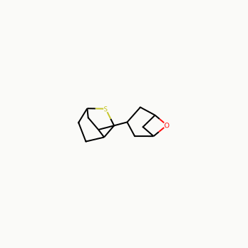 C1C2CC(C3CC4CCC3CS4)CC1O2